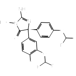 CN1C(=O)[C@@](c2ccc(OC(F)F)cc2)(c2ccc(F)c(OC(F)F)c2)N=C1N